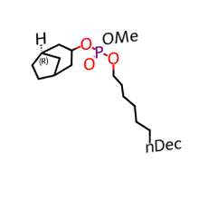 CCCCCCCCCCCCCCCCOP(=O)(OC)OC1CC2CC[C@H](C2)C1